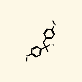 COc1ccc(CC(C)(O)c2ccc(OC)cc2)cc1